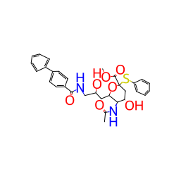 COC(=O)[C@]1(Sc2ccccc2)CC(O)[C@@H](NC(C)=O)C(CC(O)CNC(=O)c2ccc(-c3ccccc3)cc2)O1